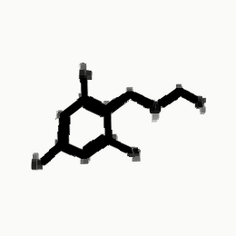 CCc1cc(CC)c(COCBr)c(CC)c1